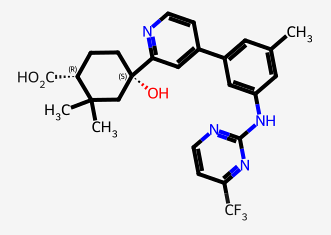 Cc1cc(Nc2nccc(C(F)(F)F)n2)cc(-c2ccnc([C@]3(O)CC[C@@H](C(=O)O)C(C)(C)C3)c2)c1